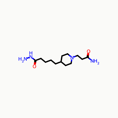 NNC(=O)CCCCC1CCN(CCC(N)=O)CC1